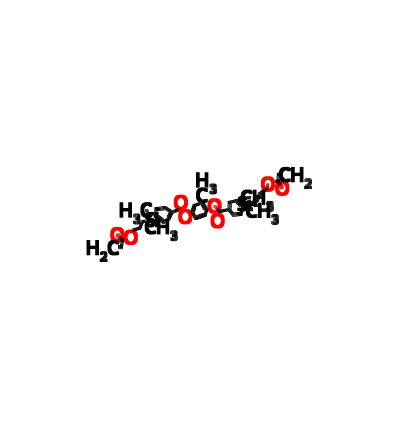 C=CC(=O)OCCC[Si](C)(C)c1ccc(C(=O)Oc2ccc(OC(=O)c3ccc([Si](C)(C)CCCOC(=O)C=C)cc3)c(C)c2)cc1